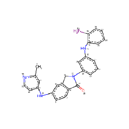 Cc1cc(Nc2ccc3c(c2)CN(c2cccc(Nc4ccccc4P)c2)C3=O)ccn1